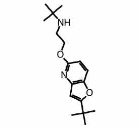 CC(C)(C)NCCOc1ccc2oc(C(C)(C)C)cc2n1